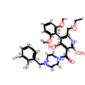 CCOCc1nc(O)c(C(=O)N2CCN(Cc3cccc(F)c3F)CC2)c(O)c1-c1c(OC)cccc1OC